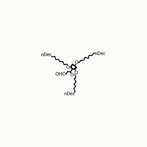 CCCCCCCCCCCCCCCCCCOc1cc(OCCCCCCCCCCCCCCCCCC)c(C(=O)CCC=O)c(OCCCCCCCCCCCCCCCCCC)c1